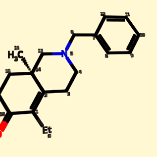 CCC1=C2CCN(Cc3ccccc3)C[C@]2(C)CCC1=O